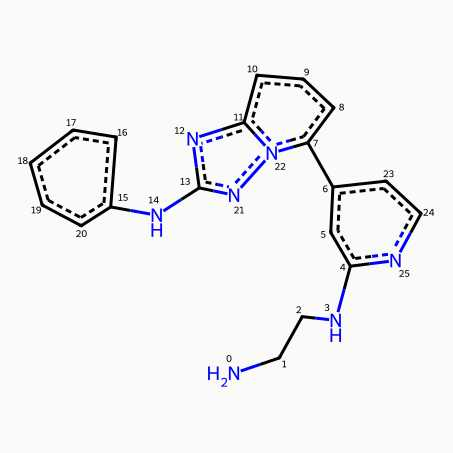 NCCNc1cc(-c2cccc3nc(Nc4ccccc4)nn23)ccn1